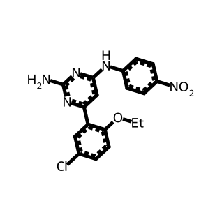 CCOc1ccc(Cl)cc1-c1cc(Nc2ccc([N+](=O)[O-])cc2)nc(N)n1